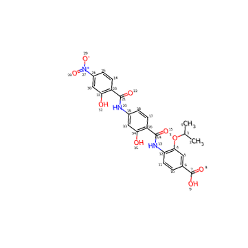 CC(C)Oc1cc(C(=O)O)ccc1NC(=O)c1ccc(NC(=O)c2ccc([N+](=O)[O-])cc2O)cc1O